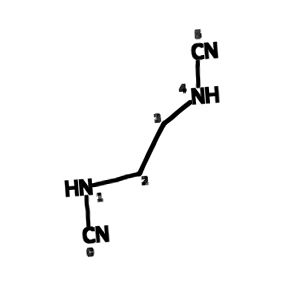 N#CNCCNC#N